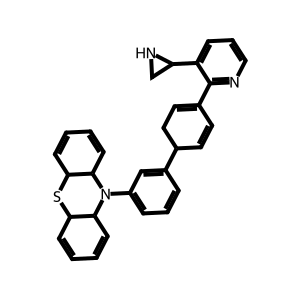 C1=CC2SC3C=CC=CC3N(c3cccc(C4C=CC(c5ncccc5C5CN5)=CC4)c3)C2C=C1